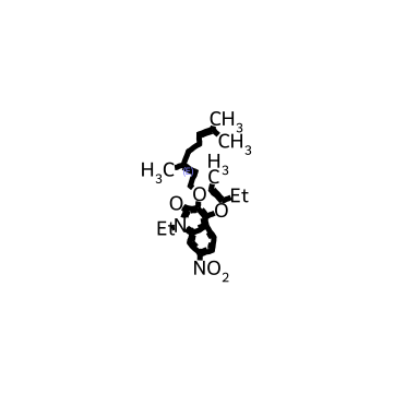 CC=C(CC)Oc1c(OC/C=C(\C)CCC=C(C)C)c(=O)n(CC)c2cc([N+](=O)[O-])ccc12